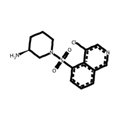 N[C@H]1CCCN(S(=O)(=O)c2cccc3cncc(Cl)c23)C1